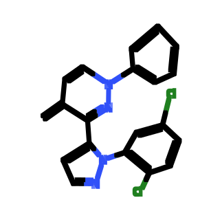 C=C1C=CN(c2ccccc2)N=C1c1ccnn1-c1cc(Cl)ccc1Cl